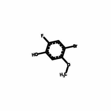 COc1cc(O)c(F)cc1Br